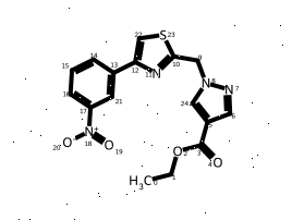 CCOC(=O)c1cnn(Cc2nc(-c3cccc([N+](=O)[O-])c3)cs2)c1